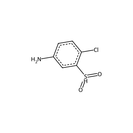 Nc1ccc(Cl)c([SH](=O)=O)c1